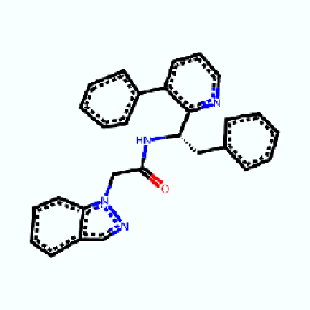 O=C(Cn1ncc2ccccc21)N[C@@H](Cc1ccccc1)c1ncccc1-c1ccccc1